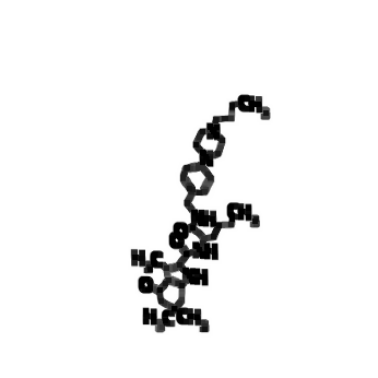 CCCCC(NC(=O)c1[nH]c2c(c1C)C(=O)CC(C)(C)C2)C(=O)NCc1ccc(N2CCN(CCCC)CC2)cc1